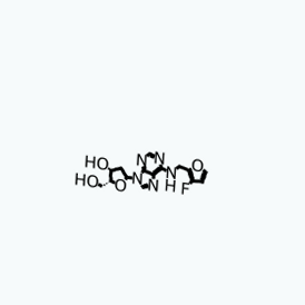 OC[C@H]1OC(n2cnc3c(NCc4occc4F)ncnc32)C[C@@H]1O